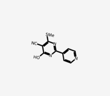 CSc1nc(-c2ccncc2)nc(O)c1C#N